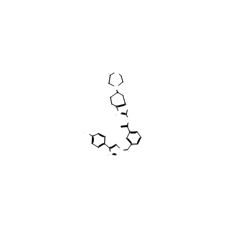 N#Cc1ccc(-c2cn(Cc3cccc(C(=O)Nc4nc5c(s4)CC(N4CCOCC4)CC5)c3)nn2)cc1